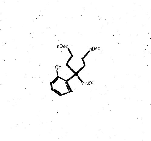 CCCCCCCCCCCCC(CCCCCC)(CCCCCCCCCCCC)c1ccccc1O